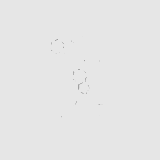 CCOP(=O)(OCC)C(CP1(=O)OC[C@@H](C)O1)c1cc2cc(N(C)CCN(C)c3ccccn3)ccc2s1